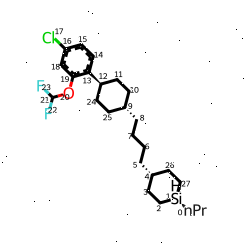 CCC[Si@H]1CC[C@H](CCCC[C@H]2CC[C@H](c3ccc(Cl)cc3OC(F)F)CC2)CC1